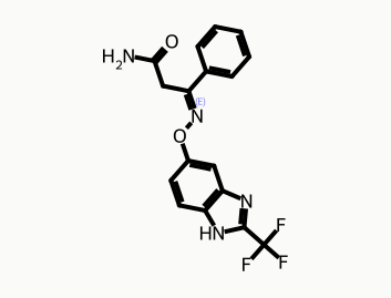 NC(=O)C/C(=N\Oc1ccc2[nH]c(C(F)(F)F)nc2c1)c1ccccc1